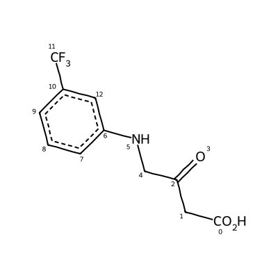 O=C(O)CC(=O)CNc1cccc(C(F)(F)F)c1